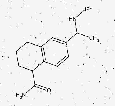 CC(C)NC(C)c1ccc2c(c1)CC[CH]C2C(N)=O